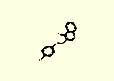 O=c1c(COc2ccc(Cl)cc2)coc2ccccc12